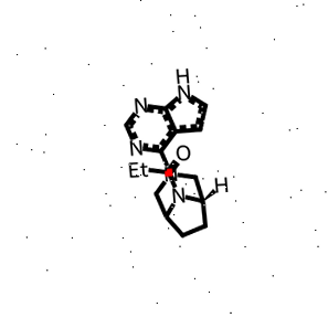 CCC(=O)N1C2CC[C@H]1CN(c1ncnc3[nH]ccc13)C2